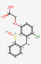 O=C(O)COc1ccc(Cl)c2c1[S+]([O-])c1ccccc1C2